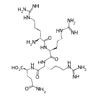 N=C(N)NCCC[C@H](NC(=O)[C@@H](N)CCCNC(=N)N)C(=O)N[C@H](CCCNC(=N)N)C(=O)N[C@@H](CCC(N)=O)C(=O)O